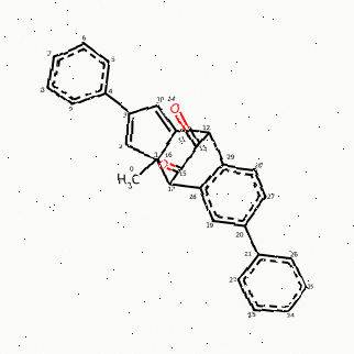 CC12C=C(c3ccccc3)C=C1C1C(=O)C(=O)C2c2cc(-c3ccccc3)ccc21